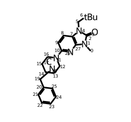 Cn1c(=O)n(CC(C)(C)C)c2ccc(N3CC4CCC3CN4Cc3ccccc3)nc21